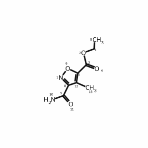 CCOC(=O)c1onc(C(N)=O)c1C